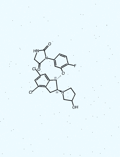 O=C1CNC(=O)N1c1ccc(F)c(O[C@H]2c3cc(Cl)cc(Cl)c3C[C@@H]2N2CCC(O)C2)c1